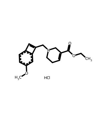 CCOC(=O)C1=CCCN(CC2=Cc3ccc(OC)cc32)C1.Cl